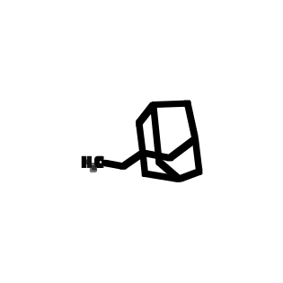 CCC12CC3CC(CC(C3)C1)C2